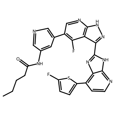 CCCCC(=O)Nc1cncc(-c2cnc3[nH]nc(-c4nc5c(-c6ccc(F)s6)ccnc5[nH]4)c3c2F)c1